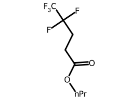 CCCOC(=O)CCC(F)(F)C(F)(F)F